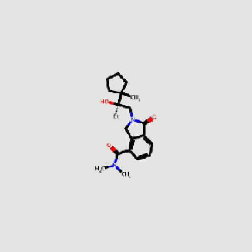 CC[C@@](O)(CN1Cc2c(C(=O)N(C)C)cccc2C1=O)C1(C)CCCC1